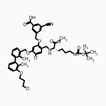 COC(=O)[C@H](CCCCNC(=O)OC(C)(C)C)NCc1cc(Cl)c(OCc2cccc(-c3cccc(OCCCCl)c3C)c2C)cc1OCc1cc(C#N)cc(C(=O)O)c1